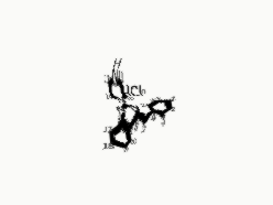 Cl.c1ccc(Cc2nc(N3CCNCC3)nc3ccccc23)cc1